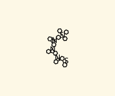 c1ccc([Si](c2ccccc2)(c2ccccc2)c2ccc(-n3c4ccccc4c4cc(-n5c6ccccc6c6cc(-n7c8ccccc8c8c9c(ccc87)sc7ccccc79)ccc65)ccc43)cc2)cc1